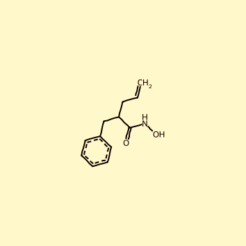 C=CCC(Cc1ccccc1)C(=O)NO